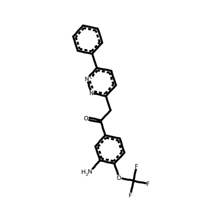 Nc1cc(C(=O)Cc2ccc(-c3ccccc3)nn2)ccc1OC(F)(F)F